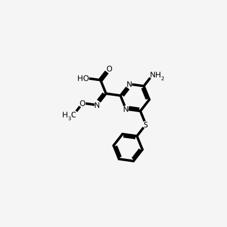 CON=C(C(=O)O)c1nc(N)cc(Sc2ccccc2)n1